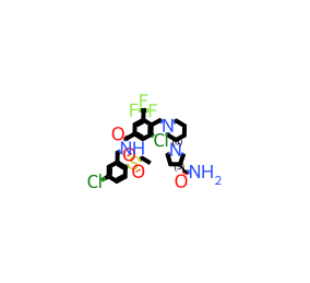 CCS(=O)(=O)c1ccc(Cl)cc1CNC(=O)c1cc(Cl)c(CN2CCC[C@H](N3CC[C@H](C(N)=O)C3)C2)c(C(F)(F)F)c1